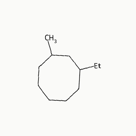 CCC1CCCCCC(C)C1